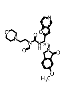 COc1ccc2c(c1)C(=O)N(C[C@H](NC(=O)N(C=O)CCN1CCOCC1)c1cc3cnccc3o1)C2